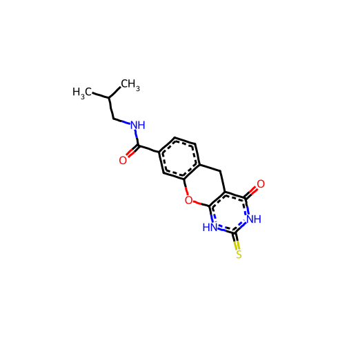 CC(C)CNC(=O)c1ccc2c(c1)Oc1[nH]c(=S)[nH]c(=O)c1C2